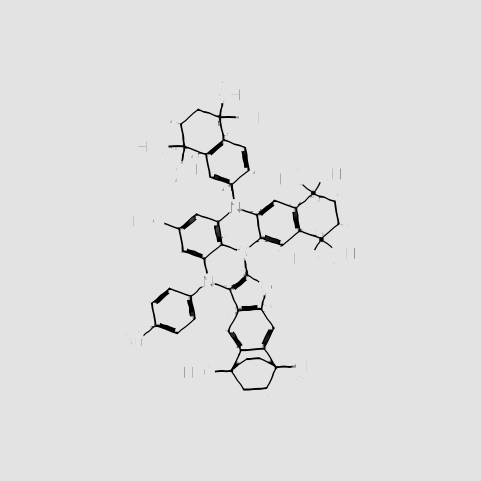 Cc1cc2c3c(c1)N(c1ccc(C(C)(C)C)cc1)c1c(oc4cc5c(cc14)C1(C)CCC5(C)CC1)B3c1cc3c(cc1N2c1ccc2c(c1)C(C)(C)CCC2(C)C)C(C)(C)CCC3(C)C